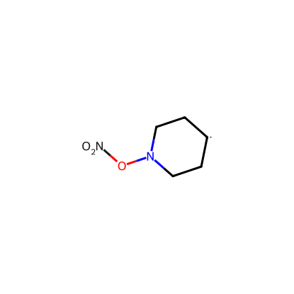 O=[N+]([O-])ON1CC[CH]CC1